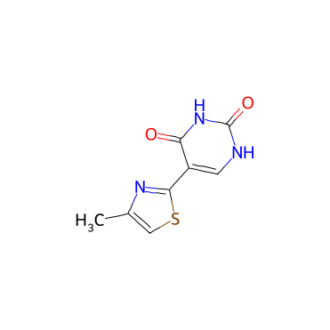 Cc1csc(-c2c[nH]c(=O)[nH]c2=O)n1